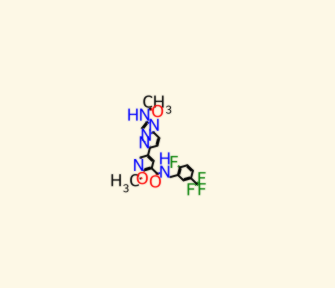 COc1ncc(-c2ccc3nc(NC(C)=O)cn3n2)cc1C(=O)NCc1cc(C(F)(F)F)ccc1F